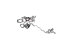 CCCCCCCCCCCCCCCCCCC(O)C(O)(C(=O)N(CCCC)CCCC)C(O)C(c1ccccc1)(c1ccccc1)c1ccccc1